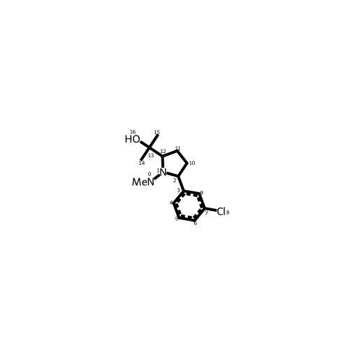 CNN1C(c2cccc(Cl)c2)CCC1C(C)(C)O